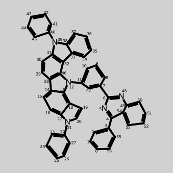 c1ccc(-c2nc(-c3cccc(-n4c5c(ccc6c5ccn6-c5ccccc5)c5ccc6c(c7ccccc7n6-c6ccccc6)c54)c3)nc3ccccc23)cc1